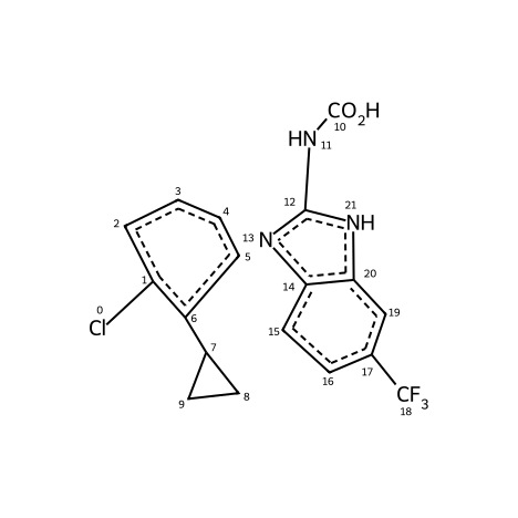 Clc1ccccc1C1CC1.O=C(O)Nc1nc2ccc(C(F)(F)F)cc2[nH]1